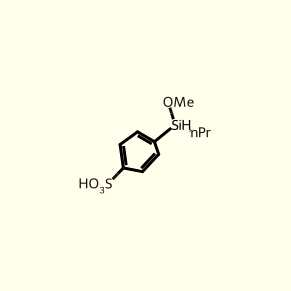 CCC[SiH](OC)c1ccc(S(=O)(=O)O)cc1